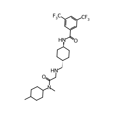 CC1CCC(N(C)C(=O)CNC[C@H]2CC[C@H](NC(=O)c3cc(C(F)(F)F)cc(C(F)(F)F)c3)CC2)CC1